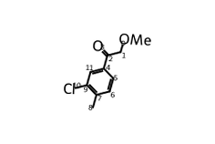 COCC(=O)c1ccc(C)c(Cl)c1